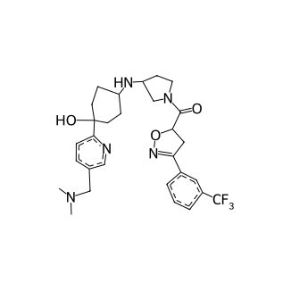 CN(C)Cc1ccc(C2(O)CCC(NC3CCN(C(=O)C4CC(c5cccc(C(F)(F)F)c5)=NO4)C3)CC2)nc1